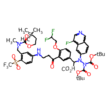 CN(Cc1cc(NCCC(=O)c2cc(C(C(=O)O)N(c3ccc4cncc(F)c4c3)N(C(=O)OC(C)(C)C)C(=O)OC(C)(C)C)ccc2OCC(F)F)ccc1S(=O)(=O)C(F)(F)F)C(=O)OCC[Si](C)(C)C